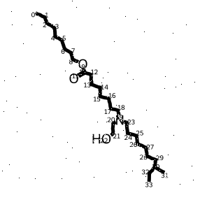 CCCCCCCCCOC(=O)CCCCCCCN(CCO)CCCCCCCC(C)CC